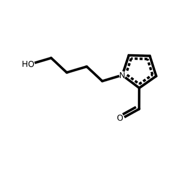 O=Cc1cccn1CCCCO